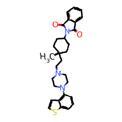 CC1(CCN2CCN(c3cccc4sccc34)CC2)CCC(N2C(=O)c3ccccc3C2=O)CC1